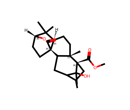 COC(=O)[C@]12CC(C)C(CC3[C@]1(C)CC[C@@H]1C(C)(C)[C@H]4CC[C@@]31C(=O)O4)C2(C)O